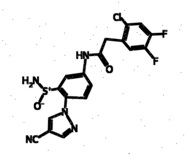 N#Cc1cnn(-c2ccc(NC(=O)Cc3cc(F)c(F)cc3Cl)cc2[S+](N)[O-])c1